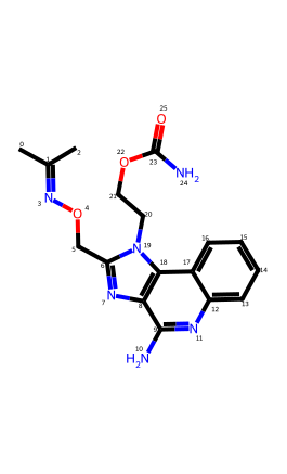 CC(C)=NOCc1nc2c(N)nc3ccccc3c2n1CCOC(N)=O